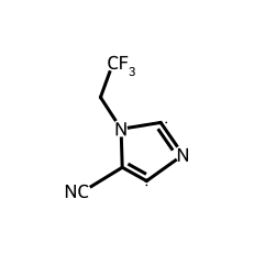 N#Cc1[c]n[c]n1CC(F)(F)F